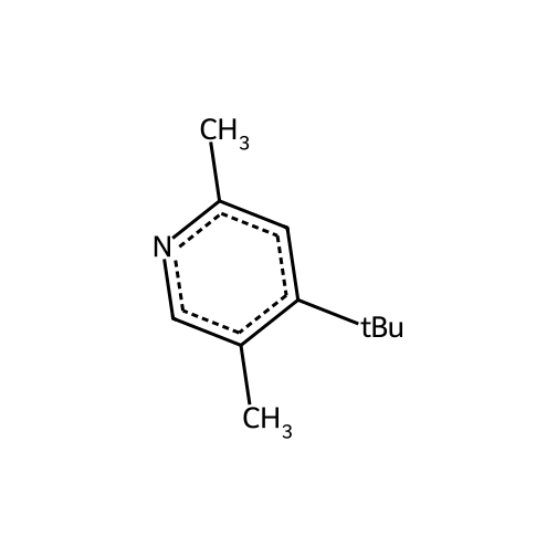 Cc1cc(C(C)(C)C)c(C)cn1